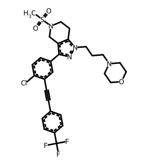 CS(=O)(=O)N1CCc2c(c(-c3ccc(Cl)c(C#Cc4ccc(C(F)(F)F)cc4)c3)nn2CCCN2CCOCC2)C1